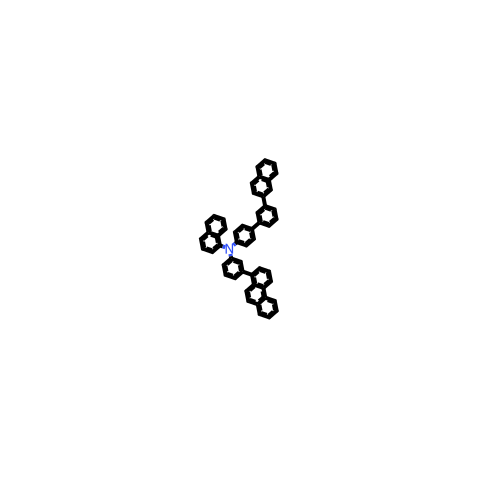 c1cc(-c2ccc(N(c3cccc(-c4cccc5c4ccc4ccccc45)c3)c3cccc4ccccc34)cc2)cc(-c2ccc3ccccc3c2)c1